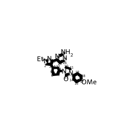 CCn1cc(C2C=CC=C(N3CCN(c4ccc(OC)cc4)C3=O)C2)c(-c2ccnc(N)n2)n1